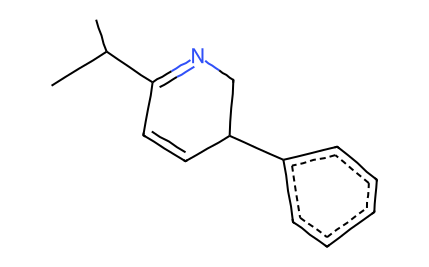 CC(C)C1=NCC(c2ccccc2)C=C1